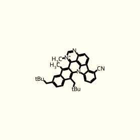 Cc1c2cc(CC(C)(C)C)ccc2c(CC(C)(C)C)c2c1c1c3c(ccc4c5c(C#N)cccc5n2c43)nc[n+]1C